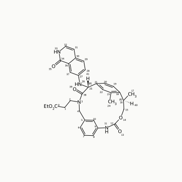 CCOC(=O)CCN1Cc2cccc(c2)NC(=O)OC[C@H](C)c2ccc(cc2C)[C@@H](Nc2ccc3cc[nH]c(=O)c3c2)C1=O